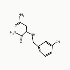 N#Cc1cccc(CNC(CC(N)=O)C(N)=O)c1